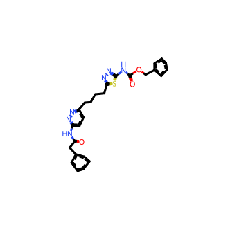 O=C(Cc1ccccc1)Nc1ccc(CCCCc2nnc(NC(=O)OCc3ccccc3)s2)nn1